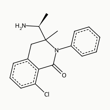 C[C@H](N)C1(C)Cc2cccc(Cl)c2C(=O)N1c1ccccc1